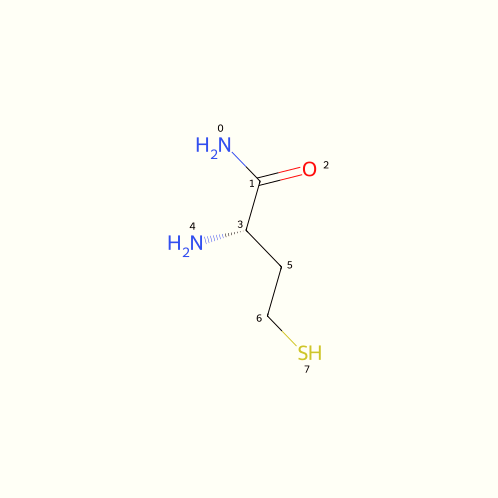 NC(=O)[C@@H](N)CCS